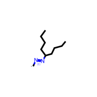 [CH2]/N=N/[C](CCCC)CCCC